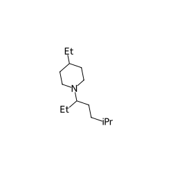 CCC1CCN(C(CC)CCC(C)C)CC1